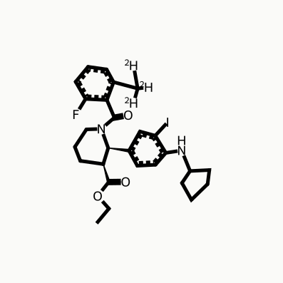 [2H]C([2H])([2H])c1cccc(F)c1C(=O)N1CCC[C@H](C(=O)OCC)[C@@H]1c1ccc(NC2CCCC2)c(I)c1